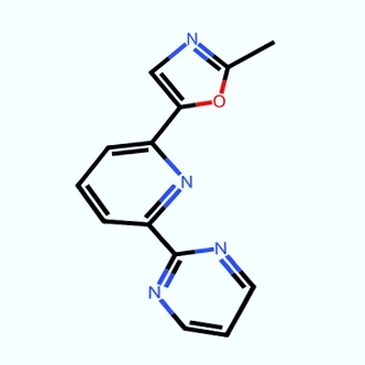 Cc1ncc(-c2cccc(-c3ncccn3)n2)o1